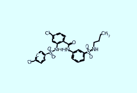 CCCCNS(=O)(=O)c1cccc(NC(=O)c2ccc(Cl)cc2NS(=O)(=O)c2ccc(Cl)cc2)c1